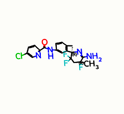 C[C@@]1(F)CC(F)(F)[C@]2(Cc3ccc(NC(=O)c4ccc(Cl)cn4)cc32)N=C1N